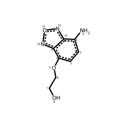 Nc1ccc(OCCO)c2nonc12